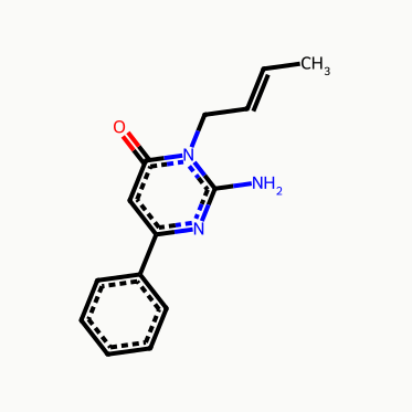 CC=CCn1c(N)nc(-c2ccccc2)cc1=O